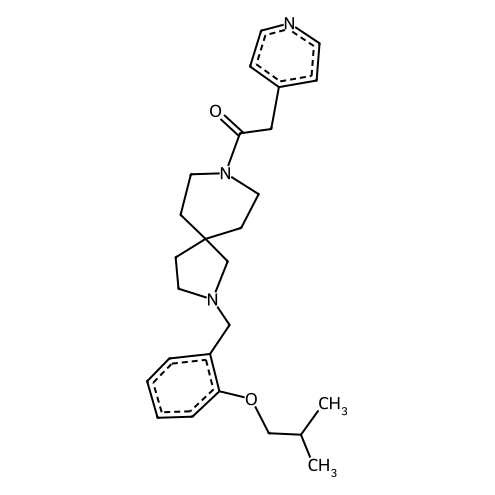 CC(C)COc1ccccc1CN1CCC2(CCN(C(=O)Cc3ccncc3)CC2)C1